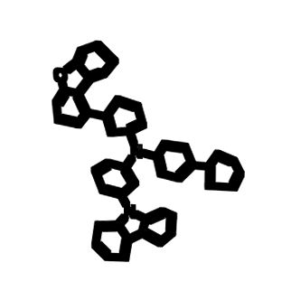 c1ccc(-c2ccc(N(c3cccc(-c4cccc5oc6ccccc6c45)c3)c3cccc(-n4c5ccccc5c5ccccc54)c3)cc2)cc1